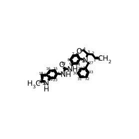 C=CCC1COc2ccc(NC(=O)Nc3ccc4cc(C)[nH]c4c3)cc2N1Cc1ccccc1